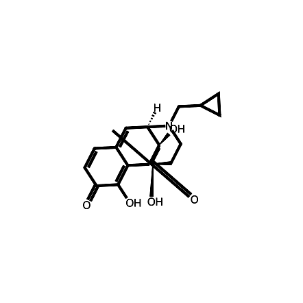 O=C1C=CC2=C[C@H]3N(CC4CC4)CC[C@]4(C2=C1O)[C@@H](O)C(=O)CC[C@@]34O